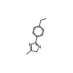 CCc1ccc(C2=NCC(C)=N2)cc1